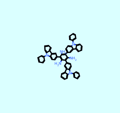 Nc1c(-c2ccc3c(c2)c2ccccc2n3-c2ccccc2)c(N)c(-c2ccc3c(c2)c2ccccc2n3-c2ccccc2)c(N)c1-c1ccc2c(c1)c1ccccc1n2-c1ccccc1